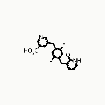 O=C(O)c1cncc(Cc2cc(F)c(Cc3ccc[nH]c3=O)cc2F)c1